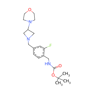 CC(C)(C)OC(=O)NCc1ccc(CN2CC(N3CCOCC3)C2)cc1F